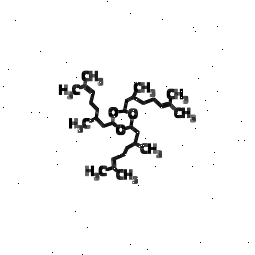 CC(C)=CCCC(C)CC1OC(CC(C)CCC=C(C)C)OC(CC(C)CCC=C(C)C)O1